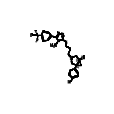 Cn1c(SCCCN2C[C@@H]3C[C@]3(c3ccc(Br)cc3)C2)nnc1-c1ccc(C(F)(F)F)cc1